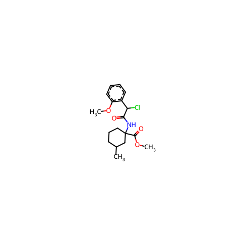 COC(=O)C1(NC(=O)C(Cl)c2ccccc2OC)CCCC(C)C1